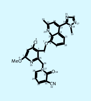 COc1cc(Cl)c(COc2cccc3c(-c4ncnn4C)cc(C)nc23)c(Cn2cccc(C#N)c2=O)n1